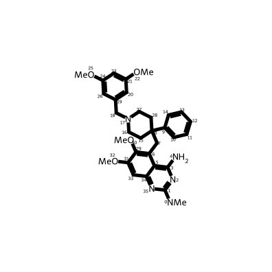 CNc1nc(N)c2c(CC3(c4ccccc4)CCN(Cc4cc(OC)cc(OC)c4)CC3)c(OC)c(OC)cc2n1